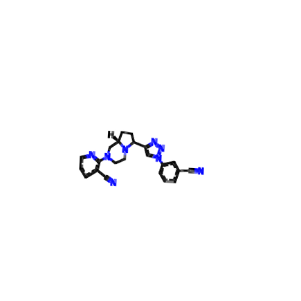 N#Cc1cccc(-n2cc(C3CC[C@H]4CN(c5ncccc5C#N)CCN34)nn2)c1